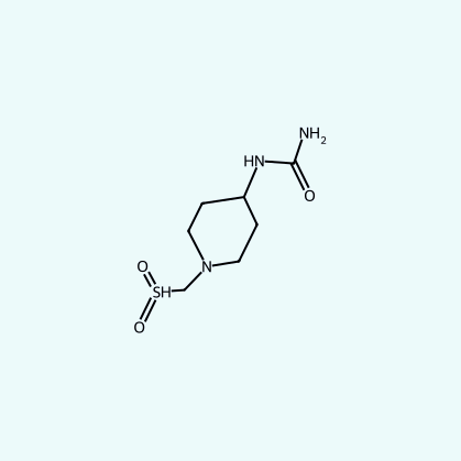 NC(=O)NC1CCN(C[SH](=O)=O)CC1